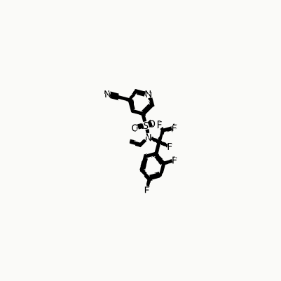 CCN(C(F)(c1ccc(F)cc1F)C(F)F)S(=O)(=O)c1cncc(C#N)c1